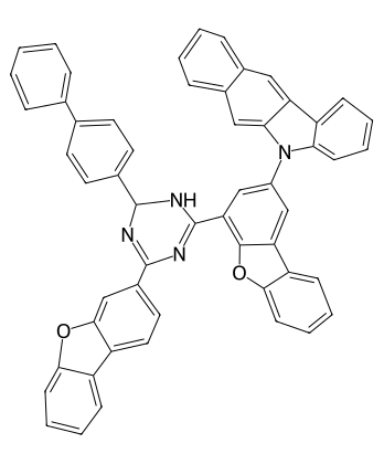 c1ccc(-c2ccc(C3N=C(c4ccc5c(c4)oc4ccccc45)N=C(c4cc(-n5c6ccccc6c6cc7ccccc7cc65)cc5c4oc4ccccc45)N3)cc2)cc1